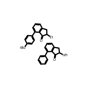 CCC1Cc2cccc(-c3ccc(C(C)(C)C)cc3)c2C1=O.CCCC1Cc2cccc(-c3ccccc3)c2C1=O